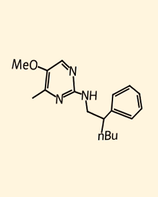 CCCCC(CNc1ncc(OC)c(C)n1)c1ccccc1